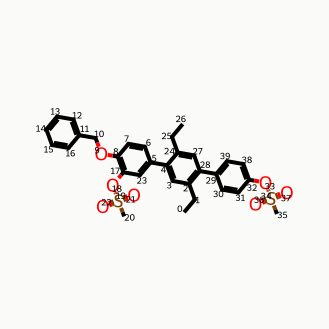 CCc1cc(-c2ccc(OCc3ccccc3)c(OS(C)(=O)=O)c2)c(CC)cc1-c1ccc(OS(C)(=O)=O)cc1